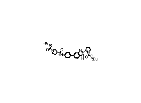 CC(C)(C)OC(=O)N1CCC(C(=O)Nc2ccc(-c3ccc4[nH]c([C@@H]5CCCN5C(=O)OC(C)(C)C)nc4c3)cc2)C1